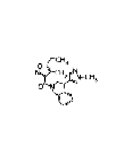 CCc1onc(C(=O)N2Cc3ccccc3C(c3cnn(C)c3)C2)c1C